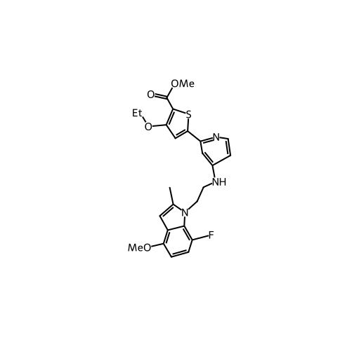 CCOc1cc(-c2cc(NCCn3c(C)cc4c(OC)ccc(F)c43)ccn2)sc1C(=O)OC